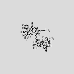 CCCCCN1C(=O)C(C(OC2O[C@H](CN)[C@H](O)[C@@H]2OC)[C@H]2O[C@@H](n3ccc(=O)[nH]c3=O)[C@H](O)[C@H]2O)N(CCCNC(=O)C(NC(=O)C(NC(=O)NC(C(=O)O)C(C)C)C2CCNC(=N)N2)C(O)C(C)C)C1=O